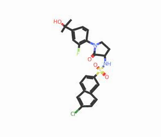 CC(C)(O)c1ccc(N2CCC(NS(=O)(=O)c3ccc4cc(Cl)ccc4c3)C2=O)c(F)c1